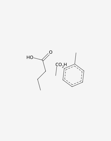 CC(=O)O.CCCC(=O)O.Cc1ccccc1